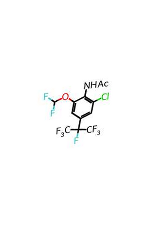 CC(=O)Nc1c(Cl)cc(C(F)(C(F)(F)F)C(F)(F)F)cc1OC(F)F